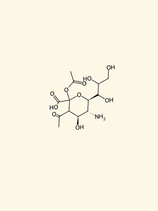 CC(=O)OC1(C(=O)O)O[C@@H](C(O)C(O)CO)[C@H](N)[C@@H](O)C1C(C)=O